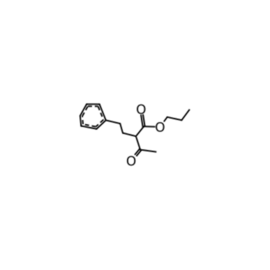 CCCOC(=O)C(CCc1ccccc1)C(C)=O